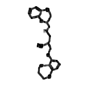 OC(CNCC1COc2ccccc2O1)COc1cccc2c1OCCO2